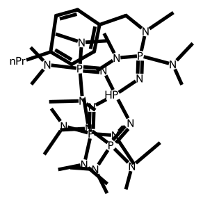 CCCc1ccc(CN(C)P(=N[PH](N=P(N(C)C)(N(C)C)N(C)C)(N=P(N(C)C)(N(C)C)N(C)C)N=P(N(C)C)(N(C)C)N(C)C)(N(C)C)N(C)C)cc1